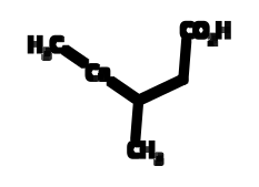 [CH3][Ca][CH](C)CC(=O)O